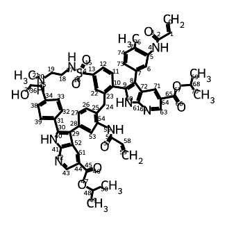 C=CC(=O)Nc1cc(-c2c(-c3ccc(S(=O)(=O)NCCNC)cc3Cc3ccc(-c4c(-c5ccc(CCO)cc5)[nH]c5ncc(C(=O)OC(C)C)cc45)cc3NC(=O)C=C)[nH]c3ncc(C(=O)OC(C)C)cc23)ccc1C